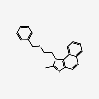 Cc1nc2cnc3ccccc3c2n1CCOCc1ccccc1